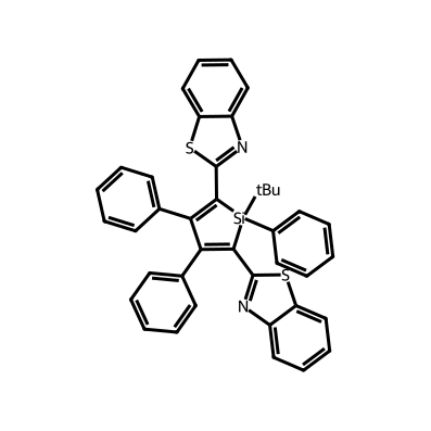 CC(C)(C)[Si]1(c2ccccc2)C(c2nc3ccccc3s2)=C(c2ccccc2)C(c2ccccc2)=C1c1nc2ccccc2s1